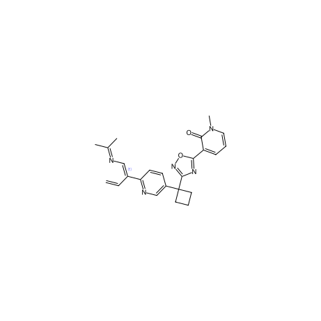 C=C/C(=C\N=C(C)C)c1ccc(C2(c3noc(-c4cccn(C)c4=O)n3)CCC2)cn1